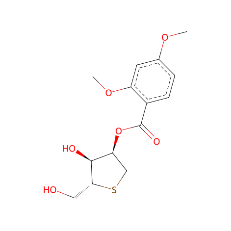 COc1ccc(C(=O)O[C@H]2CS[C@H](CO)[C@H]2O)c(OC)c1